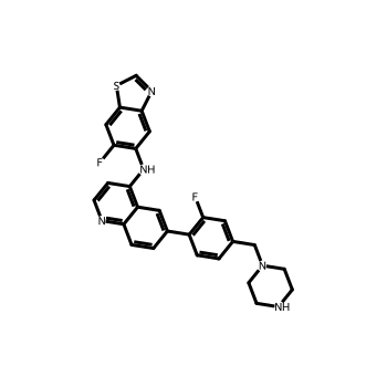 Fc1cc2scnc2cc1Nc1ccnc2ccc(-c3ccc(CN4CCNCC4)cc3F)cc12